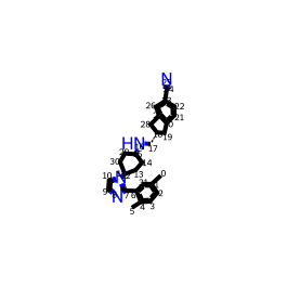 Cc1ccc(C)c(-c2nccn2C2CCC(NC[C@H]3Cc4ccc(C#N)cc4C3)CC2)c1